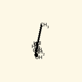 CCCCCCCCCCCCCCCCCCOC(=O)CNC(=O)CNC(=O)[C@@H](N)Cc1ccc(O)cc1.Cl